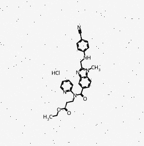 CCOC(=O)CCN(C(=O)c1ccc2c(c1)nc(CNc1ccc(C#N)cc1)n2C)c1ccccn1.Cl